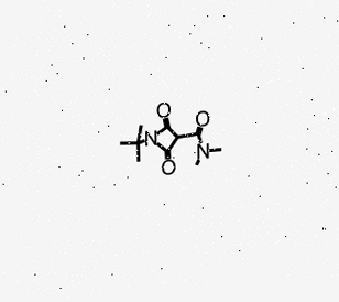 CN(C)C(=O)C1C(=O)N(C(C)(C)C)C1=O